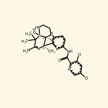 CC1(C)C(N)=N[C@](C)(c2nc(NC(=O)c3ncc(Cl)cc3Cl)ccc2F)[C@@H]2CCCNS21O